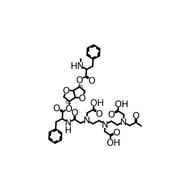 CNC(Cc1ccccc1)C(=O)O[C@@H]1COC2C1OC[C@@H]2OC(=O)C(Cc1ccccc1)NC(=O)CN(CCN(CCN(CC(C)=O)CC(=O)O)CC(=O)O)CC(=O)O